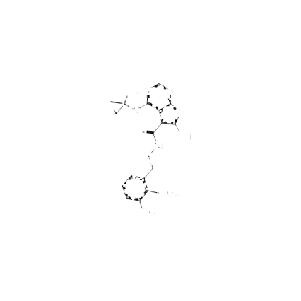 COc1cccc(CCNC(=O)c2c(C)oc3ncnc(NC4(C)CC4)c23)c1OC